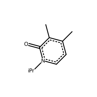 Cc1ccn(C(C)C)c(=O)c1C